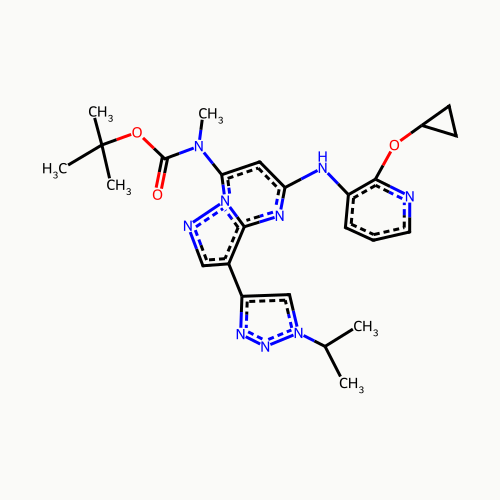 CC(C)n1cc(-c2cnn3c(N(C)C(=O)OC(C)(C)C)cc(Nc4cccnc4OC4CC4)nc23)nn1